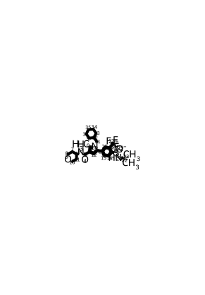 Cc1c(C(=O)NC2CCOCC2)cc(-c2ccc([S+]([O-])NC(C)C)c(C(F)(F)F)c2)n1CC1CCCCC1